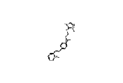 CN(CCSc1n(C)cn[n+]1C)c1ccc(/C=C/c2cccc[n+]2C)cc1